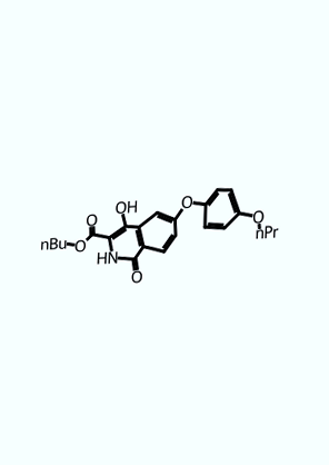 CCCCOC(=O)c1[nH]c(=O)c2ccc(Oc3ccc(OCCC)cc3)cc2c1O